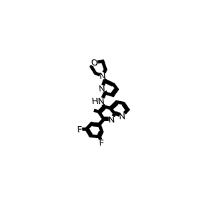 Cc1c(-c2cc(F)cc(F)c2)nc2ncccc2c1Nc1cccc(N2CCOCC2)n1